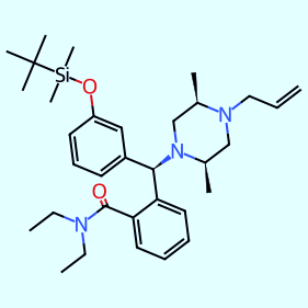 C=CCN1C[C@@H](C)N([C@H](c2cccc(O[Si](C)(C)C(C)(C)C)c2)c2ccccc2C(=O)N(CC)CC)C[C@H]1C